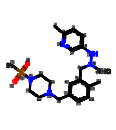 Cc1ccc(NN(C=O)Cc2cc(CN3CCN(S(=O)(=O)C(C)C)CC3)ccc2C)cn1